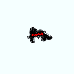 CCN(CCCOc1ccc(-c2cccc(S(=O)(=O)C3CC3)c2)c2c1[nH]c1ncc(C)cc12)C(F)(F)CC(OP(=O)(O)O)(C(O)C(F)(F)N(CC)CCCOc1ccc(-c2cccc(S(=O)(=O)C3CC3)c2)c2c1[nH]c1ncc(C)cc12)C(F)(F)N(CC)CCCOc1ccc(-c2cccc(S(=O)(=O)C3CC3)c2)c2c1[nH]c1ncc(Cl)cc12